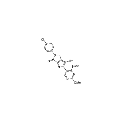 COc1ncc(-c2nc3c(n2C(C)C)CN(c2ccc(Cl)cc2)C3=O)c(OC)n1